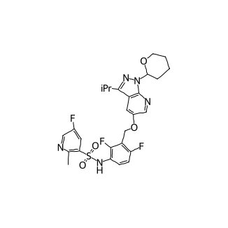 Cc1ncc(F)cc1S(=O)(=O)Nc1ccc(F)c(COc2cnc3c(c2)c(C(C)C)nn3C2CCCCO2)c1F